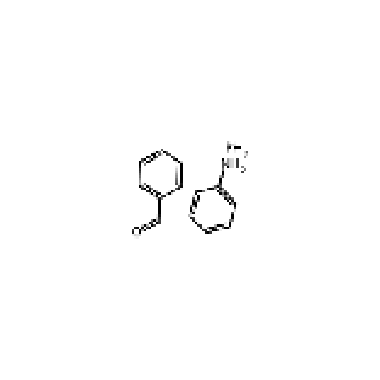 Nc1ccccc1.O=Cc1ccccc1.P